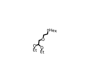 CCCCCCCCOCC(OCC)OCC